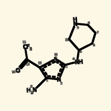 Nc1nc(NC2CCCNC2)sc1C(=O)C(F)(F)F